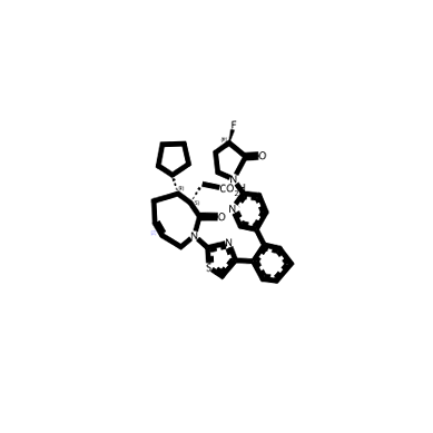 O=C(O)C[C@@H]1C(=O)N(c2nc(-c3ccccc3-c3ccc(N4CC[C@@H](F)C4=O)nc3)cs2)C/C=C\C[C@@H]1C1CCCC1